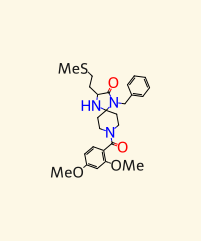 COc1ccc(C(=O)N2CCC3(CC2)NC(CCSC)C(=O)N3Cc2ccccc2)c(OC)c1